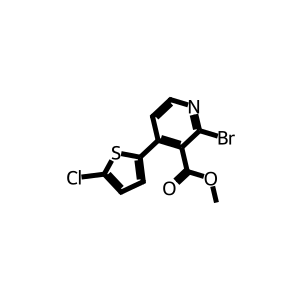 COC(=O)c1c(-c2ccc(Cl)s2)ccnc1Br